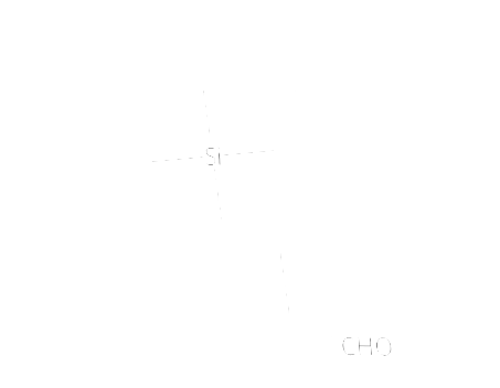 C=C[Si](C=C)(C=C)CCCC=O